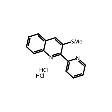 CSc1cc2ccccc2nc1-c1ccccn1.Cl.Cl